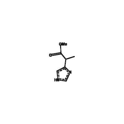 COC(=O)C(C)c1c[nH]cn1